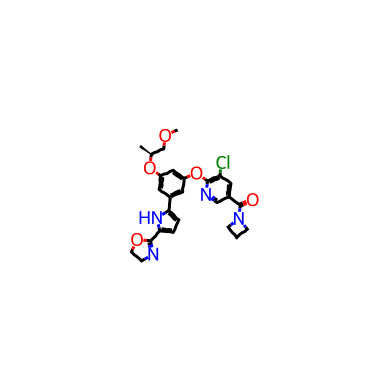 COC[C@H](C)Oc1cc(Oc2ncc(C(=O)N3CCC3)cc2Cl)cc(-c2ccc(C3=NCCO3)[nH]2)c1